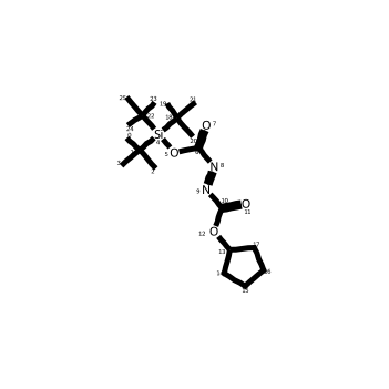 CC(C)(C)[Si](OC(=O)N=NC(=O)OC1CCCC1)(C(C)(C)C)C(C)(C)C